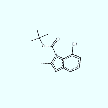 Cc1cc2cccc(O)c2n1C(=O)OC(C)(C)C